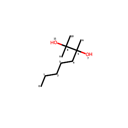 CCCCCC(C)(O)C(C)(C)O